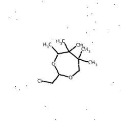 CC1OC(CCl)OCC(C)(C)C1(C)C